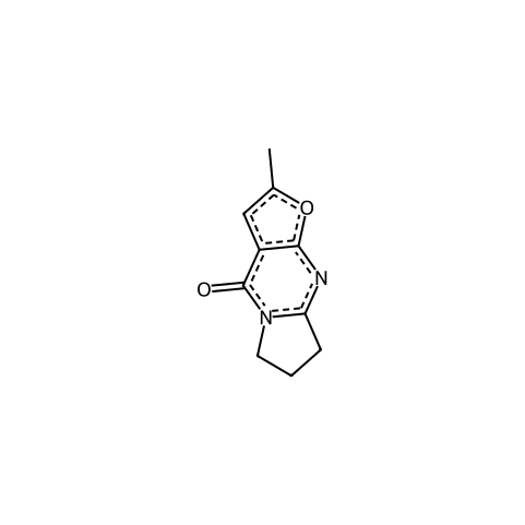 Cc1cc2c(=O)n3c(nc2o1)CCC3